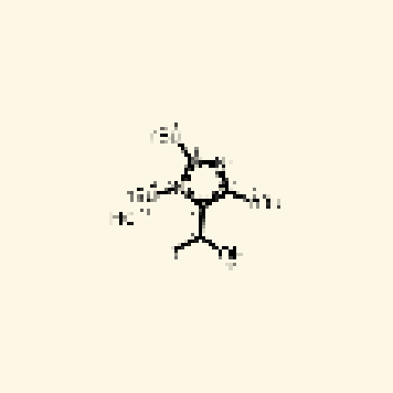 CCCCc1nc(CCCC)n(CCCC)c1C(C)O.Cl